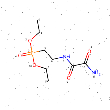 CCOP(=O)(CCNC(=O)C(N)=O)OCC